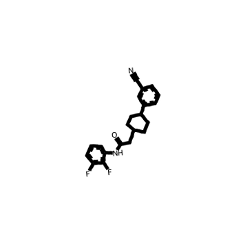 N#Cc1cccc(C2CCC(CC(=O)Nc3cccc(F)c3F)CC2)c1